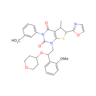 COc1ccccc1C(Cn1c2c(c(=O)n(-c3cccc(C(=O)O)c3)c1=O)C(C)C(c1ncco1)S2)OC1CCOCC1